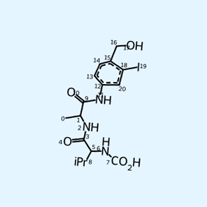 CC(NC(=O)C(NC(=O)O)C(C)C)C(=O)Nc1ccc(CO)c(I)c1